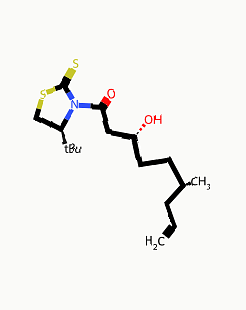 C=CC[C@@H](C)CC[C@@H](O)CC(=O)N1C(=S)SC[C@@H]1C(C)(C)C